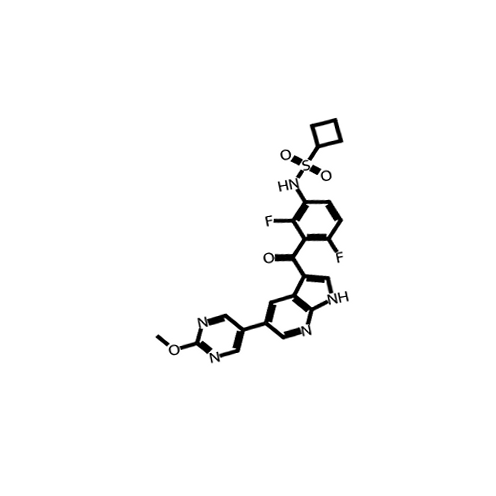 COc1ncc(-c2cnc3[nH]cc(C(=O)c4c(F)ccc(NS(=O)(=O)C5CCC5)c4F)c3c2)cn1